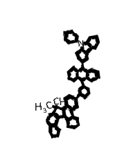 CC1(C)c2ccc3ccccc3c2-c2c1c1ccc(-c3cccc(-c4c5ccccc5c(-c5ccc6c(c5)c5ccccc5n6-c5ccccc5)c5ccccc45)c3)cc1c1ccccc21